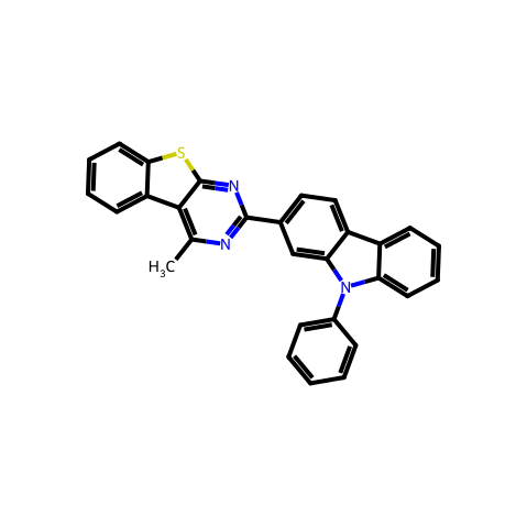 Cc1nc(-c2ccc3c4ccccc4n(-c4ccccc4)c3c2)nc2sc3ccccc3c12